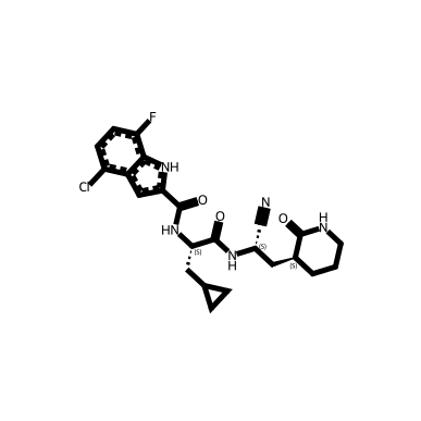 N#C[C@H](C[C@@H]1CCCNC1=O)NC(=O)[C@H](CC1CC1)NC(=O)c1cc2c(Cl)ccc(F)c2[nH]1